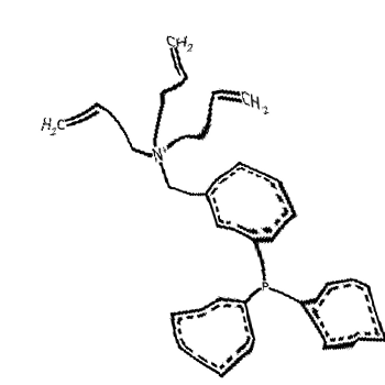 C=CC[N+](CC=C)(CC=C)Cc1cccc(P(c2ccccc2)c2ccccc2)c1